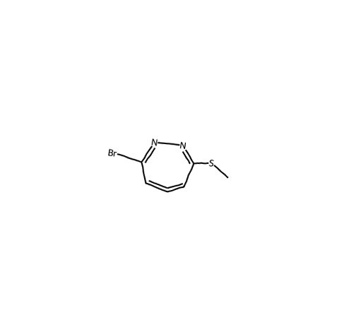 CSC1=NN=C(Br)C=C=C1